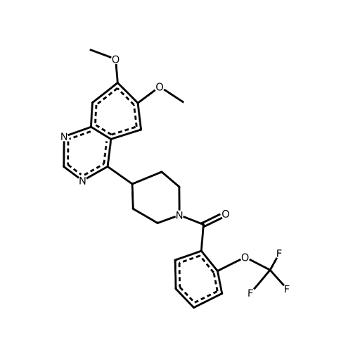 COc1cc2ncnc(C3CCN(C(=O)c4ccccc4OC(F)(F)F)CC3)c2cc1OC